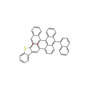 c1ccc2c(-c3c4ccccc4c(-c4cccc5ccccc45)c4c(-c5ccc6sc7ccccc7c6c5)cccc34)cccc2c1